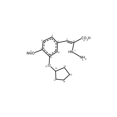 COc1ccc(C=C(NN)C(=O)O)cc1OC1CCCC1